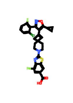 O=C(O)c1cc(F)c2nc(N3CCC4(C=C(c5c(-c6c(F)cccc6Cl)noc5C5CC5)C4)CC3)sc2c1